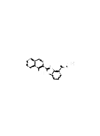 COC(=O)c1cccc2oc(-c3ccc4ccccc4c3O)nc12